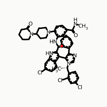 CNC(=O)c1ccc(N2CCC(N3CCCCC3=O)CC2)c(NC(=O)c2[nH]c3cc(Cl)ccc3c2-c2c(-c3ccccc3)ncn2[C@@H](C)c2ccc(Cl)cc2Cl)c1